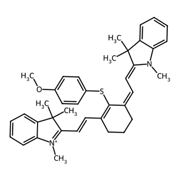 COc1ccc(SC2=C(/C=C/C3=[N+](C)c4ccccc4C3(C)C)CCC/C2=C/C=C2\N(C)c3ccccc3C2(C)C)cc1